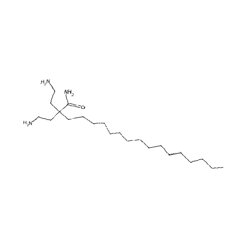 CCCCCCCCCCCCCCCCC(CCN)(CCN)C(N)=O